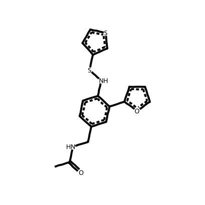 CC(=O)NCc1ccc(NSc2ccsc2)c(-c2ccco2)c1